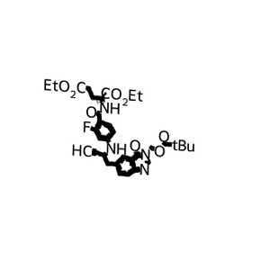 C#CC(Cc1ccc2ncn(COC(=O)C(C)(C)C)c(=O)c2c1)Nc1ccc(C(=O)N[C@@H](CCC(=O)OCC)C(=O)OCC)c(F)c1